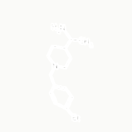 CCc1ccc(CN2CCC(C(C)N)CC2)cc1